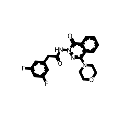 O=C(Cc1cc(F)cc(F)c1)Nn1nc(N2CCOCC2)c2ccccc2c1=O